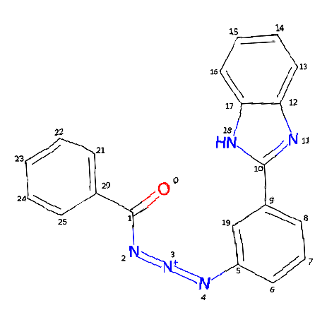 O=C(N=[N+]=Nc1cccc(-c2nc3ccccc3[nH]2)c1)c1ccccc1